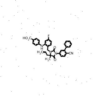 C=CCC1(C)C(=O)N(c2ccc(C#N)c(-c3ccccc3)c2)C(=O)N1Cc1ccc(F)cc1Nc1ccc(C(=O)O)cc1